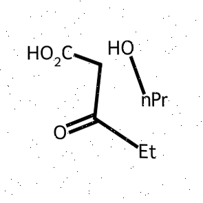 CCC(=O)CC(=O)O.CCCO